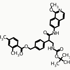 COc1nccc2cc(NC(=O)C(CNC(=O)OC(C)(C)C)c3ccc(COC(=O)c4ccc(C)cc4C)cc3)ccc12